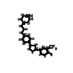 Cc1ccc(N2CCC(c3ccc(CCCN4CCNCC4)cc3)C2)cc1C(F)(F)F